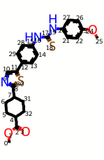 COC(=O)C1CCC(c2ncc(-c3ccc(NC(=S)Nc4ccc(OC)cc4)cc3)s2)CC1